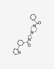 O=C(c1ccccc1)N1CCN(C2CN(C(=O)c3cccc(-c4ccccn4)c3)C2)CC1